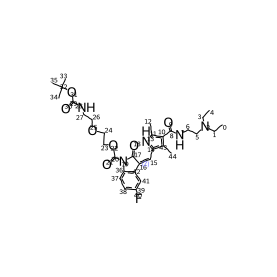 CCN(CC)CCNC(=O)c1c(C)[nH]c(/C=C2\C(=O)N(C(=O)OCCOCCNC(=O)OC(C)(C)C)c3ccc(F)cc32)c1C